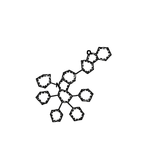 c1ccc(-c2c(-c3ccccc3)c(-c3ccccc3)c3c(c2-c2ccccc2)c2cc(-c4ccc5c(c4)oc4ccccc45)ccc2n3-c2ccccc2)cc1